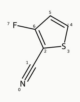 N#Cc1s[c]cc1F